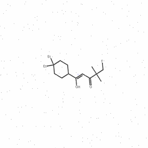 CCC1(CC)CCC(/C(O)=C/C(=O)C(C)(C)CF)CC1